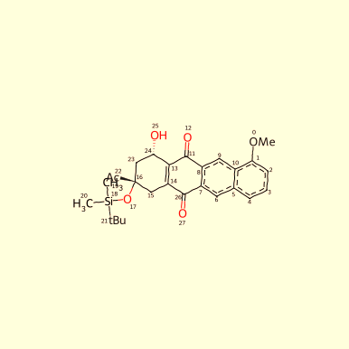 COc1cccc2cc3c(cc12)C(=O)C1=C(C[C@@](O[Si](C)(C)C(C)(C)C)(C(C)=O)C[C@@H]1O)C3=O